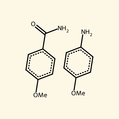 COc1ccc(C(N)=O)cc1.COc1ccc(N)cc1